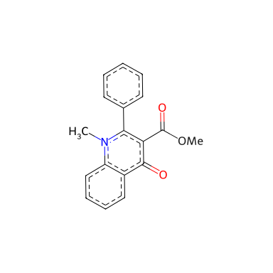 COC(=O)c1c(-c2ccccc2)n(C)c2ccccc2c1=O